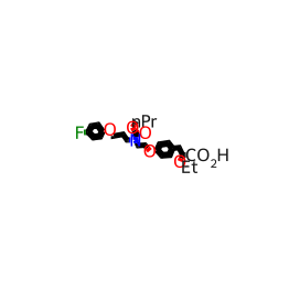 CCCOC(=O)N(CCCOc1ccc(F)cc1)CCOc1ccc(CC(OCC)C(=O)O)cc1